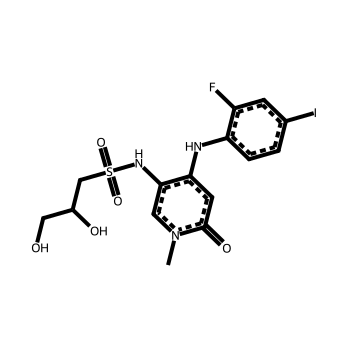 Cn1cc(NS(=O)(=O)CC(O)CO)c(Nc2ccc(I)cc2F)cc1=O